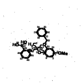 COc1ccc(O[Si](C)(C)C(C)(C)C)c(OCc2ccccc2)c1.OB(O)c1ccccc1